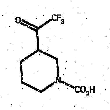 O=C(O)N1CCCC(C(=O)C(F)(F)F)C1